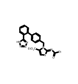 CCOC(=O)c1csc(=NC(=O)CC)n1Cc1ccc(-c2ccccc2-c2nnn[nH]2)cc1